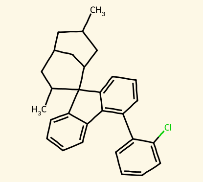 CC1CC2CC(C)C3(c4ccccc4-c4c(-c5ccccc5Cl)cccc43)C(C1)C2